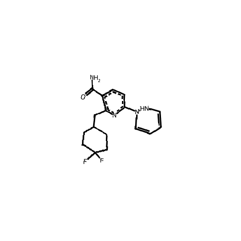 NC(=O)c1ccc(N2C=CC=CN2)nc1CC1CCC(F)(F)CC1